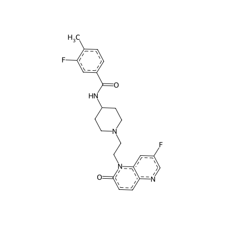 Cc1ccc(C(=O)NC2CCN(CCn3c(=O)ccc4ncc(F)cc43)CC2)cc1F